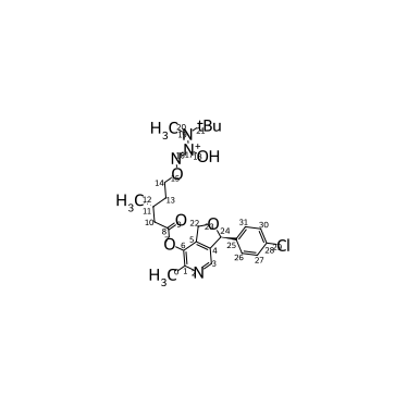 Cc1ncc2c(c1OC(=O)C[C@H](C)CCO/N=[N+](\O)N(C)C(C)(C)C)CO[C@H]2c1ccc(Cl)cc1